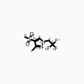 Cc1nn(CC(F)(F)F)cc1S(C)(=O)=O